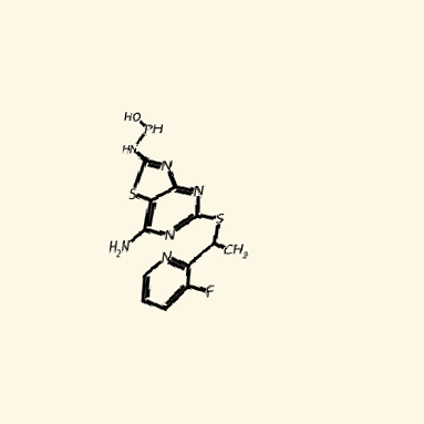 CC(Sc1nc(N)c2sc(NPO)nc2n1)c1ncccc1F